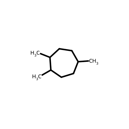 CC1CCC(C)C(C)CC1